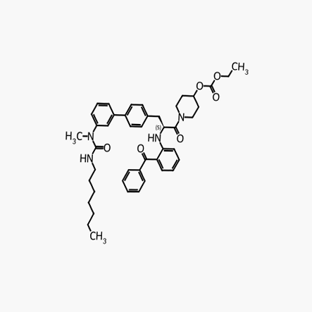 CCCCCCCNC(=O)N(C)c1cccc(-c2ccc(C[C@H](Nc3ccccc3C(=O)c3ccccc3)C(=O)N3CCC(OC(=O)OCC)CC3)cc2)c1